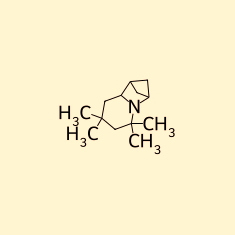 CC1(C)CC2C3CC(C3)N2C(C)(C)C1